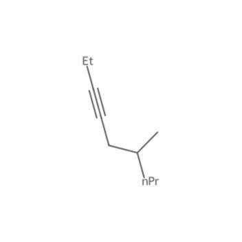 [CH2]CCC(C)CC#CCC